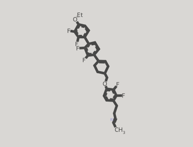 C/C=C/CCc1ccc(OCC2CC=C(c3ccc(-c4ccc(OCC)c(F)c4F)c(F)c3F)CC2)c(F)c1F